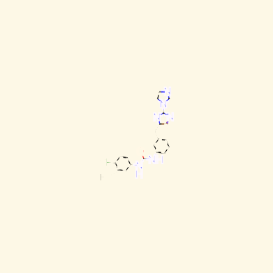 O=C(Nc1cccc(Cc2nc(-n3ccnc3)ns2)c1)Nc1ccc(Cl)c(C(F)(F)F)c1